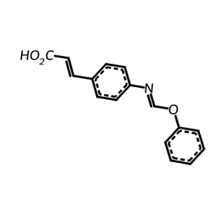 O=C(O)/C=C/c1ccc(N=COc2ccccc2)cc1